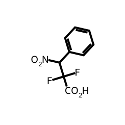 O=C(O)C(F)(F)C(c1ccccc1)[N+](=O)[O-]